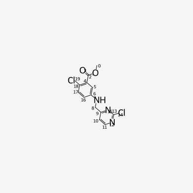 COC(=O)c1cc(NCc2ccnc(Cl)n2)ccc1Cl